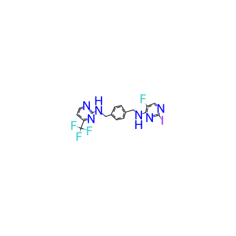 Fc1cnc(I)nc1NCc1ccc(CNc2nccc(C(F)(F)F)n2)cc1